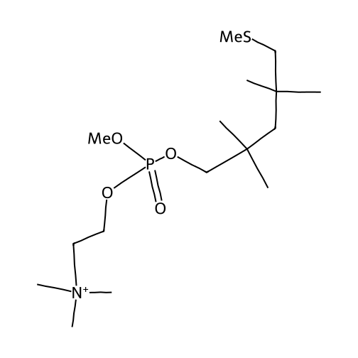 COP(=O)(OCC[N+](C)(C)C)OCC(C)(C)CC(C)(C)CSC